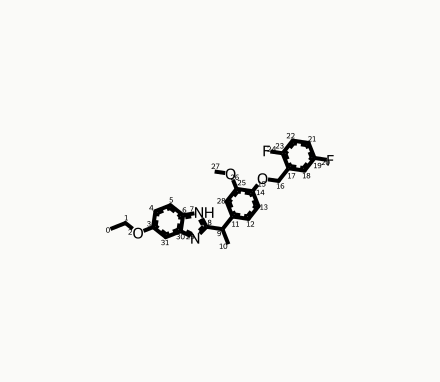 CCOc1ccc2[nH]c(C(C)c3ccc(OCc4cc(F)ccc4F)c(OC)c3)nc2c1